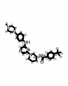 CN1CCN(c2ccc(Nc3cncc(N4CCC[C@@H](NC(=O)c5ccc(C(C)(C)C)cc5)C4)n3)cc2)CC1